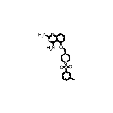 Cc1cccc(S(=O)(=O)N2CCC(COc3cccc4nc(N)nc(N)c34)CC2)c1